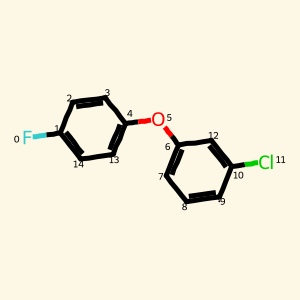 Fc1ccc(Oc2cc[c]c(Cl)c2)cc1